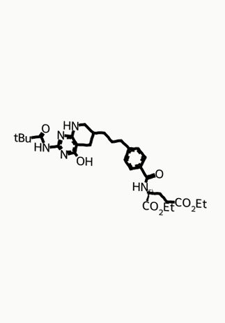 CCOC(=O)CC[C@H](NC(=O)c1ccc(CCCC2CNc3nc(NC(=O)C(C)(C)C)nc(O)c3C2)cc1)C(=O)OCC